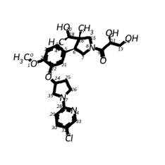 COc1ccc([C@@H]2CN(C(=O)[C@@H](O)CO)C[C@@]2(C)[C@@H](C)O)cc1OC1CCN(c2ccc(Cl)cn2)C1